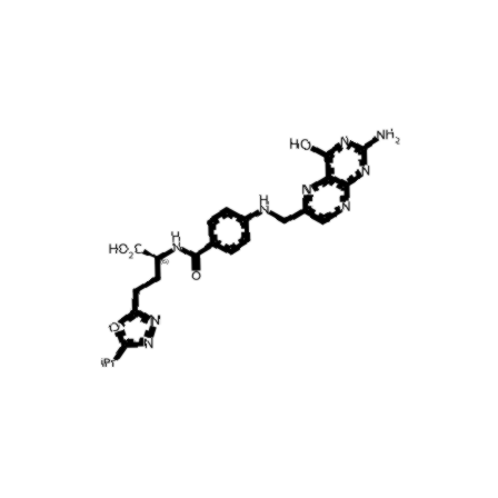 CC(C)c1nnc(CC[C@H](NC(=O)c2ccc(NCc3cnc4nc(N)nc(O)c4n3)cc2)C(=O)O)o1